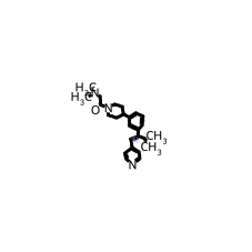 CC(C)/C(=C\c1ccncc1)c1cccc(C2CCN(C(=O)CN(C)C)CC2)c1